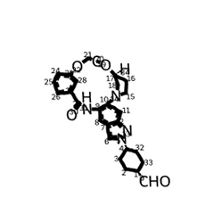 O=C[C@H]1CC[C@H](n2cc3cc4c(cc3n2)N2CC[C@@H](C2)OCCOc2cccc(c2)C(=O)N4)CC1